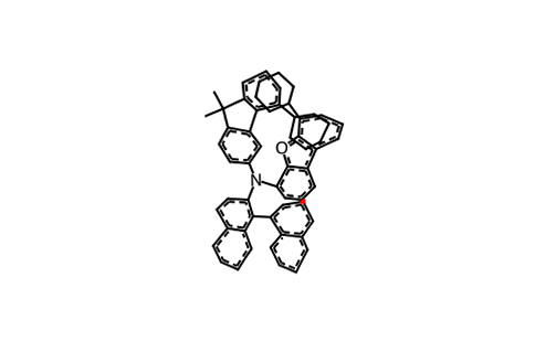 CC1(C)c2ccc(N(c3ccc4ccccc4c3-c3cccc4ccccc34)c3cccc4c3oc3c(C5CCCCC5)cccc34)cc2-c2c(C3CCCCC3)cccc21